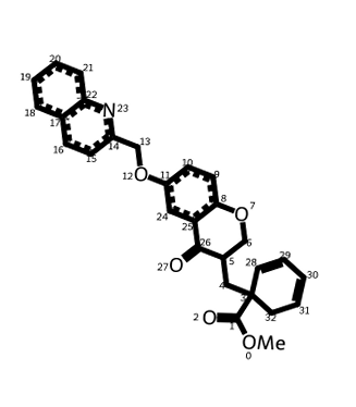 COC(=O)C1(CC2COc3ccc(OCc4ccc5ccccc5n4)cc3C2=O)C=CC=CC1